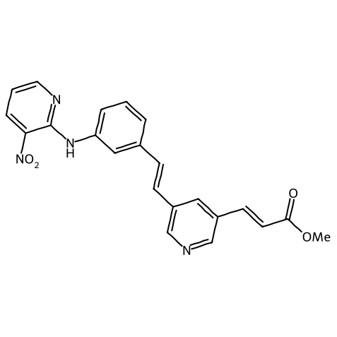 COC(=O)C=Cc1cncc(C=Cc2cccc(Nc3ncccc3[N+](=O)[O-])c2)c1